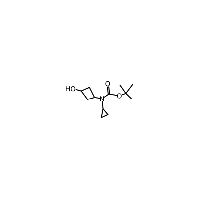 CC(C)(C)OC(=O)N(C1CC1)C1CC(O)C1